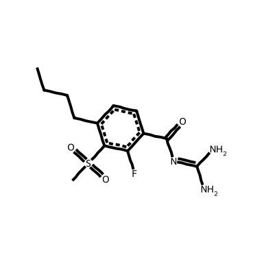 CCCCc1ccc(C(=O)N=C(N)N)c(F)c1S(C)(=O)=O